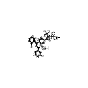 Cc1cc(C(CC(c2ccc(C3CN(C(=O)O)[C@H]3C(C)(C)C)cc2)c2ccccc2C)=NO)ccn1